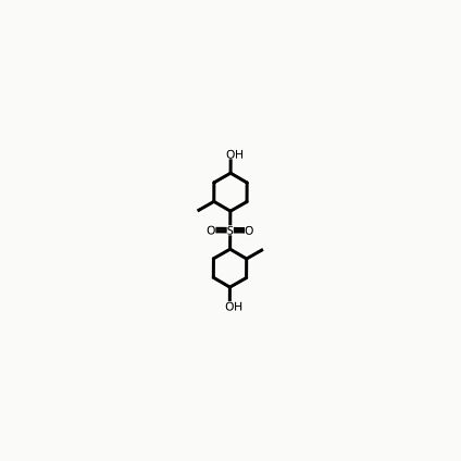 CC1CC(O)CCC1S(=O)(=O)C1CCC(O)CC1C